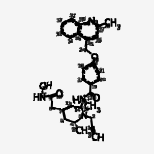 C#CCN1[C@H](C)C[C@@H](CC(=O)NO)C[C@@]1(C)NC(=O)c1ccc(OCc2cc(C)nc3ccccc23)cc1